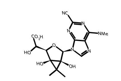 CNc1nc(C#N)nc2c1ncn2[C@@H]1O[C@H](C(O)C(=O)O)[C@@]2(O)C(C)(C)[C@@]12O